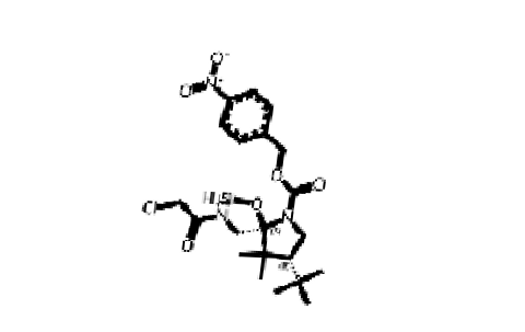 CC(C)(C)[C@H]1CN(C(=O)OCc2ccc([N+](=O)[O-])cc2)[C@](CNC(=O)CCl)(O[SiH3])C1(C)C